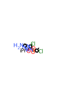 Cc1cc(S(=O)(=O)Nc2cc(Cl)cnc2C(=O)N(c2cccc(N)n2)C(C)C)ccc1Cl